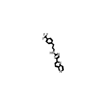 FC(F)(F)c1ccc(CCCNc2ncc(-c3ccc4cnccc4n3)s2)cc1